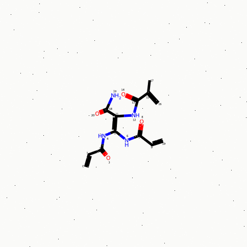 C=CC(=O)NC(NC(=O)C=C)=C(NC(=O)C(=C)C)C(N)=O